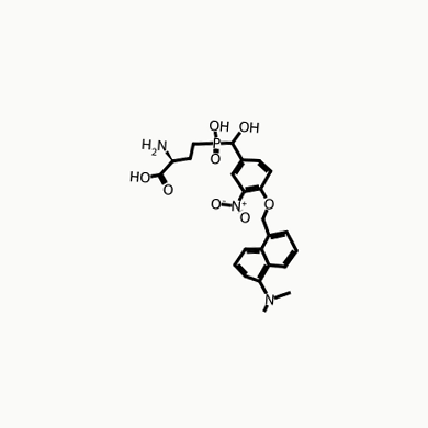 CN(C)c1cccc2c(COc3ccc(C(O)P(=O)(O)CC[C@H](N)C(=O)O)cc3[N+](=O)[O-])cccc12